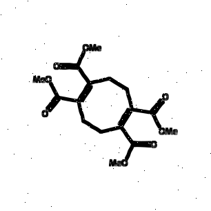 COC(=O)C1=C(C(=O)OC)CCC(C(=O)OC)=C(C(=O)OC)CC1